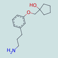 NCCCc1cccc(OCC2(O)CCCC2)c1